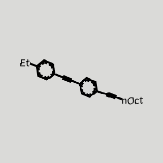 CCCCCCCCC#Cc1ccc(C#Cc2ccc(CC)cc2)cc1